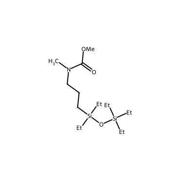 CC[Si](CC)(CC)O[Si](CC)(CC)CCCN(C)C(=O)OC